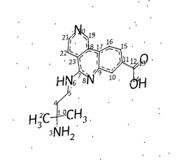 CC(C)(N)CCNc1nc2cc(C(=O)O)ccc2c2cnccc12